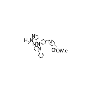 COC(=O)CC1CCN(Cc2ccc(-n3c(-c4cccnc4N)nc4ccc(-c5ccccc5)nc43)cc2)CC1